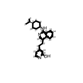 CC(C)[C@H]1CC[C@H](Nc2ncc(CCc3ccnc(O)c3)c3ccccc23)CC1